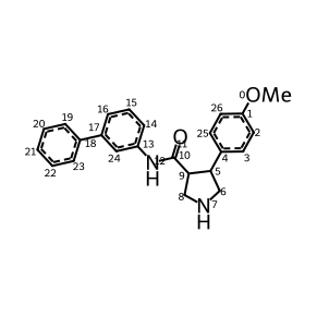 COc1ccc(C2CNCC2C(=O)Nc2cccc(-c3ccccc3)c2)cc1